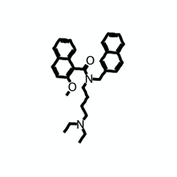 CCN(CC)CCCCN(Cc1ccc2ccccc2c1)C(=O)c1c(OC)ccc2ccccc12